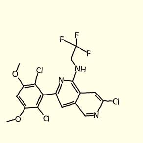 COc1cc(OC)c(Cl)c(-c2cc3cnc(Cl)cc3c(NCC(F)(F)F)n2)c1Cl